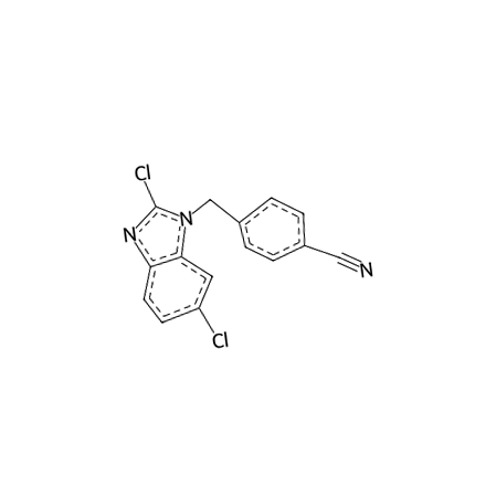 N#Cc1ccc(Cn2c(Cl)nc3ccc(Cl)cc32)cc1